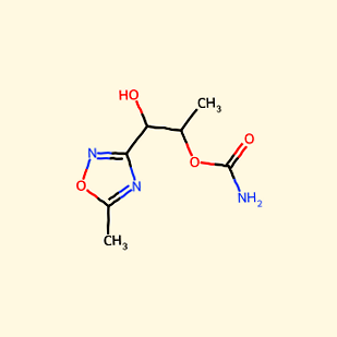 Cc1nc(C(O)C(C)OC(N)=O)no1